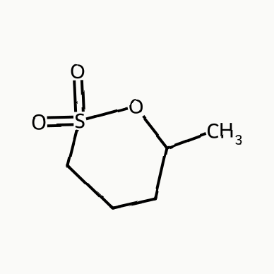 CC1CCCS(=O)(=O)O1